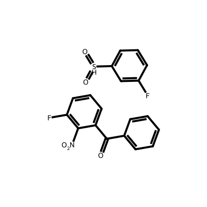 O=C(c1ccccc1)c1cccc(F)c1[N+](=O)[O-].O=[SH](=O)c1cccc(F)c1